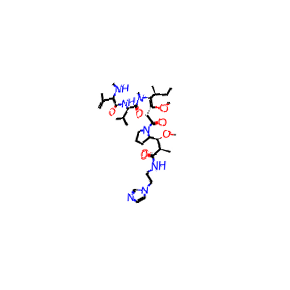 CC[C@H](C)[C@@H]([C@@H](CC(=O)N1CCCC1[C@H](OC)[C@@H](C)C(=O)NCCn1ccnc1)OC)N(C)C(=O)C(NC(=O)C(NC)C(C)C)C(C)C